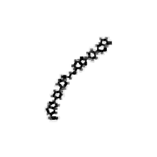 COc1ccc2nc(-c3ccc(-c4ccc(NCCOc5ccc6nc(-c7ccc(-c8cnc9[nH]ccc9c8)cc7)sc6c5)nc4)cc3)sc2c1